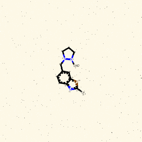 O=CN1CCCN1Cc1ccc2nc(C(F)(F)F)sc2c1